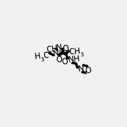 Cc1oc2ncn(CC(C)C)c(=O)c2c1C(=O)NCCCN1CCOCC1